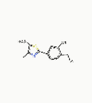 Cc1nc(-c2ccc(CC(C)C)c(C#N)c2)sc1C(=O)O